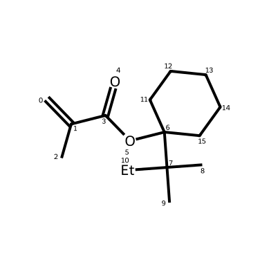 C=C(C)C(=O)OC1(C(C)(C)CC)CCCCC1